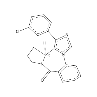 O=C1c2ccccc2-n2cnc(-c3cccc(Cl)c3)c2[C@@H]2CCCN12